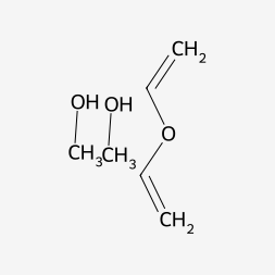 C=COC=C.CO.CO